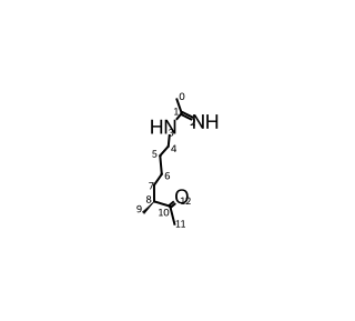 CC(=N)NCCCC[C@H](C)C(C)=O